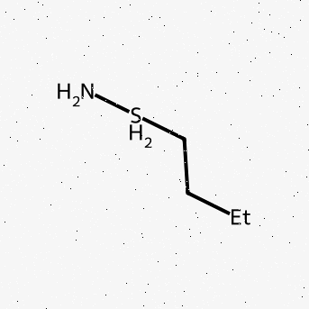 CCCC[SH2]N